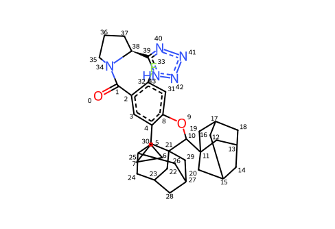 O=C(c1cc(C2CC2)c(OC(C23CC4CC(CC(C4)C2)C3)C23CC4CC(CC(C4)C2)C3)cc1F)N1CCC[C@H]1c1nnn[nH]1